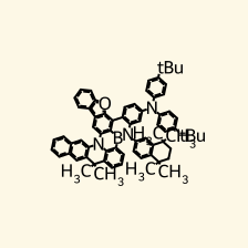 CC(C)(C)c1ccc(N(c2ccc(C(C)(C)C)cc2)c2ccc3c(c2)N(c2ccc4c(c2)C(C)(C)CCC4(C)C)B2c4cccc5c4N(c4cc6ccccc6cc4C5(C)C)c4cc5c(oc6ccccc65)c-3c42)cc1